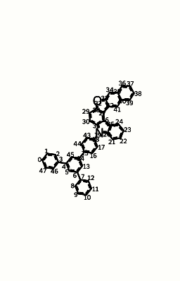 c1ccc(-c2cc(-c3ccccc3)cc(-c3ccc(-n4c5ccccc5c5c6c(ccc54)oc4cc5ccccc5cc46)cc3)c2)cc1